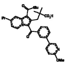 COc1ccc(-c2cccc(C(=O)c3c(CC(C)(C)C(=O)O)c(C(=O)C(C)(C)C)c4cc(C(C)C)ccn34)c2)cn1